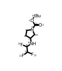 CC(C)(C)OC(=O)N1CCC(NC(F)C(F)F)C1